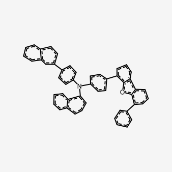 c1ccc(-c2cccc3c2oc2c(-c4ccc(N(c5ccc(-c6ccc7ccccc7c6)cc5)c5cccc6ccccc56)cc4)cccc23)cc1